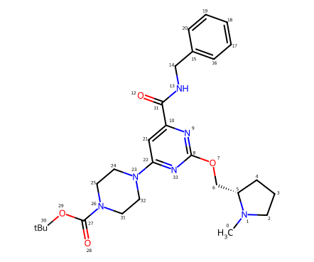 CN1CCC[C@H]1COc1nc(C(=O)NCc2ccccc2)cc(N2CCN(C(=O)OC(C)(C)C)CC2)n1